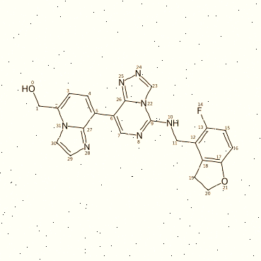 OCc1ccc(-c2cnc(NCc3c(F)ccc4c3CCO4)n3cnnc23)c2nccn12